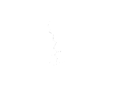 CCO[Si](CC(F)C(F)CCCCCCCF)(OCC)OCC